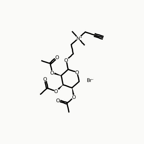 C#CC[N+](C)(C)CCOC1OC[C@@H](OC(C)=O)[C@@H](OC(C)=O)[C@H]1OC(C)=O.[Br-]